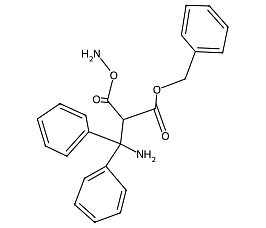 NOC(=O)C(C(=O)OCc1ccccc1)C(N)(c1ccccc1)c1ccccc1